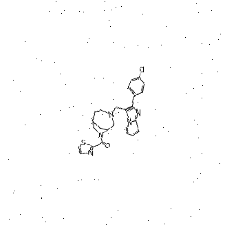 O=C(c1nccs1)N1CC2CCN(Cc3c(-c4ccc(Cl)cc4)nc4ccccn34)CC1C2